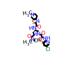 CN1CCc2nc(C(=O)N[C@H](CCC(=O)N(C)C)CNC(=O)C(=O)Nc3ccc(Cl)cn3)sc2C1